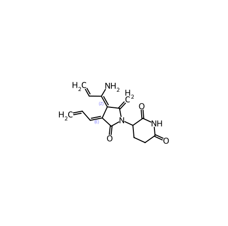 C=C/C=C1/C(=O)N(C2CCC(=O)NC2=O)C(=C)/C1=C(\N)C=C